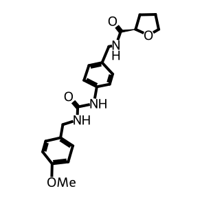 COc1ccc(CNC(=O)Nc2ccc(CNC(=O)[C@H]3CCCO3)cc2)cc1